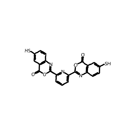 O=c1oc(-c2cccc(-c3nc4ccc(S)cc4c(=O)o3)n2)nc2ccc(S)cc12